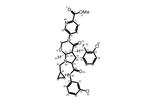 COC(=O)c1ccc(N2CO[C@H]3[C@@H](C2=O)[C@H](c2cccc(Cl)c2F)C(C(=O)Nc2cccc(Cl)c2)N3CC2CC2)cn1